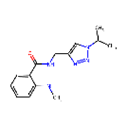 CNc1ccccc1C(=O)NCc1cn(C(C)C)nn1